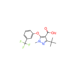 Cn1nc(C(C)(C)C)c(C(=O)O)c1Oc1cccc(C(F)(F)F)c1